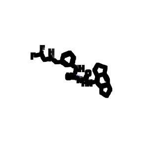 O=C(/N=[SH](=O)\Nc1cccc(CNCC(F)F)c1)Nc1c2c(cc3c1CCC3)CCC2